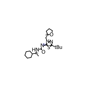 C[C@H](NC(=O)/N=c1\sc(C(C)(C)C)nn1C[C@H]1CCCO1)C1CCCCC1